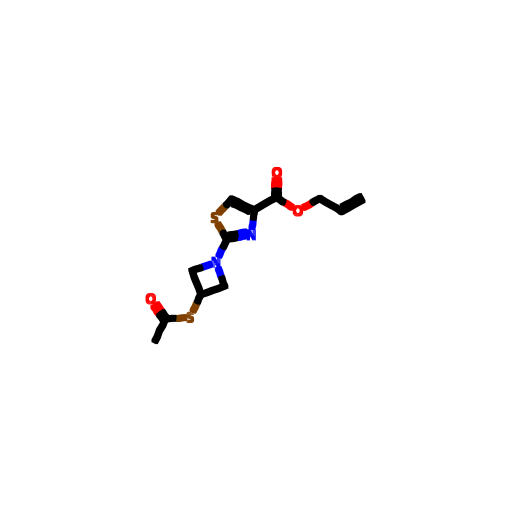 C=CCOC(=O)c1csc(N2CC(SC(C)=O)C2)n1